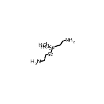 Cl.Cl.NCC[Se][Se]CCN